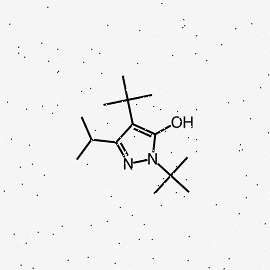 CC(C)c1nn(C(C)(C)C)c(O)c1C(C)(C)C